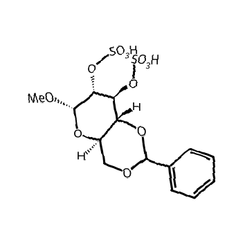 CO[C@H]1O[C@@H]2COC(c3ccccc3)O[C@H]2[C@H](OS(=O)(=O)O)[C@H]1OS(=O)(=O)O